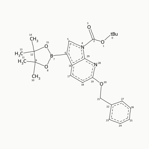 CC(C)(C)OC(=O)n1cc(B2OC(C)(C)C(C)(C)O2)c2ccc(OCc3ccccc3)nc21